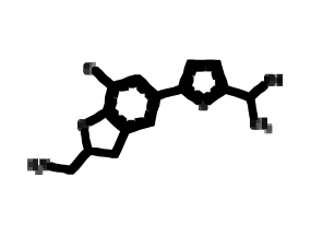 CC(O)c1ccc(-c2cc(Cl)c3c(c2)CC(CN)O3)s1